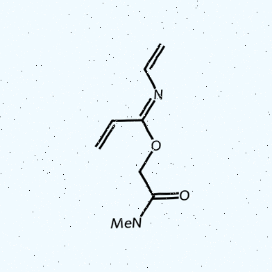 C=C/N=C(\C=C)OCC(=O)NC